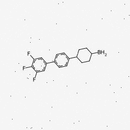 BC1CCC(c2ccc(-c3cc(F)c(F)c(F)c3)cc2)CC1